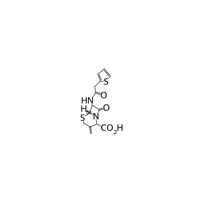 C=C1CS[C@@H]2C(NC(=O)Cc3cccs3)C(=O)N2C1C(=O)O